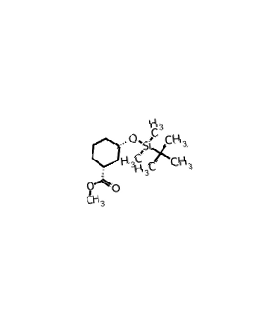 COC(=O)[C@@H]1CCC[C@H](O[Si](C)(C)C(C)(C)C)C1